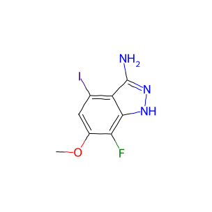 COc1cc(I)c2c(N)n[nH]c2c1F